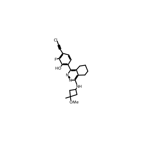 COC1(C)CC(Nc2nnc(-c3ccc(C#CCl)c(F)c3O)c3c2CCCC3)C1